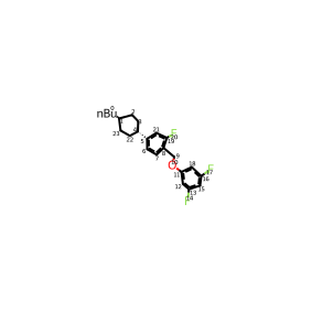 CCCC[C@H]1CC[C@H](c2ccc(COc3cc(F)cc(F)c3)c(F)c2)CC1